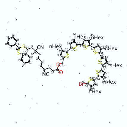 [C-]#[N+]C(CCCCC(C)(C#N)CC(SC(=S)c1ccccc1)c1ccccc1)CCC(=O)OCc1cc(CCCCCC)c(-c2cc(CCCCCC)c(-c3cc(CCCCCC)c(-c4cc(CCCCCC)c(-c5cc(CCCCCC)c(-c6cc(CCCCCC)c(-c7cc(CCCCCC)c(Br)s7)s6)s5)s4)s3)s2)s1